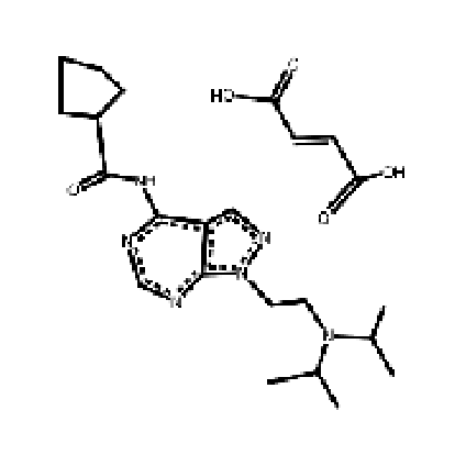 CC(C)N(CCn1ncc2c(NC(=O)C3CCCC3)ncnc21)C(C)C.O=C(O)C=CC(=O)O